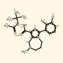 CN1CCCn2c(-c3cccc(Cl)c3F)nc(C(=O)N[C@H](C(N)=O)C(C)(C)C)c2C1